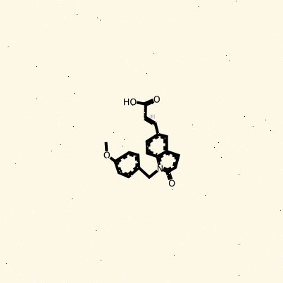 COc1ccc(Cn2c(=O)ccc3cc(/C=C/C(=O)O)ccc32)cc1